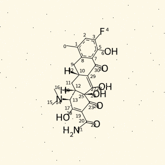 Cc1cc(F)c(O)c2c1C[C@H]1C[C@H]3[C@H](N(C)C)C(O)=C(C(N)=O)C(=O)[C@@]3(O)C(O)=C1C2=O